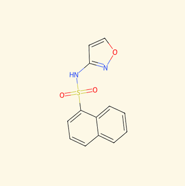 O=S(=O)(Nc1ccon1)c1cccc2ccccc12